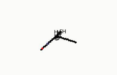 CCCCCCCC/C=C/CCCCCCCC(=O)NC(CCSSS)C(=O)NCCCCCCCCCCCCCCCC